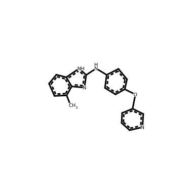 Cc1cccc2[nH]c(Nc3ccc(Oc4cccnc4)cc3)nc12